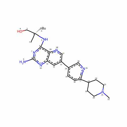 CCCC[C@](C)(CO)Nc1nc(N)nc2cc(-c3ccc(C4CCN(C)CC4)nc3)cnc12